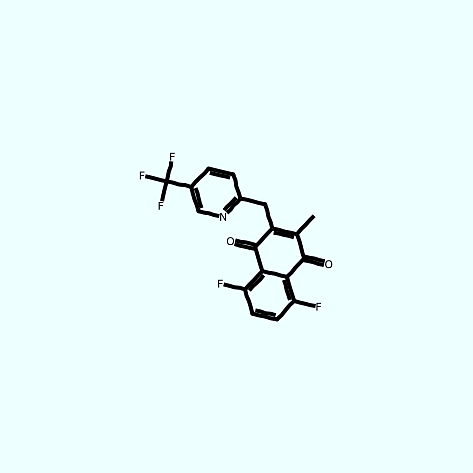 CC1=C(Cc2ccc(C(F)(F)F)cn2)C(=O)c2c(F)ccc(F)c2C1=O